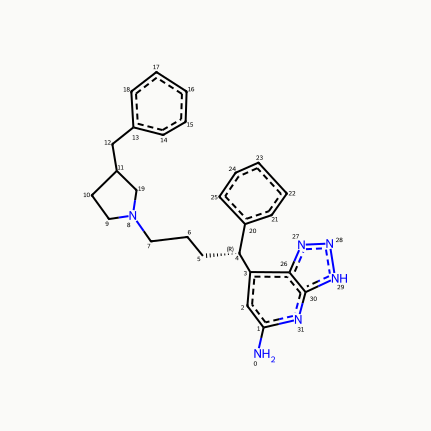 Nc1cc([C@H](CCCN2CCC(Cc3ccccc3)C2)c2ccccc2)c2nn[nH]c2n1